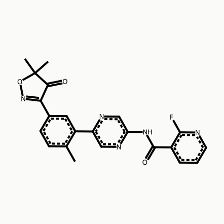 Cc1ccc(C2=NOC(C)(C)C2=O)cc1-c1cnc(NC(=O)c2cccnc2F)cn1